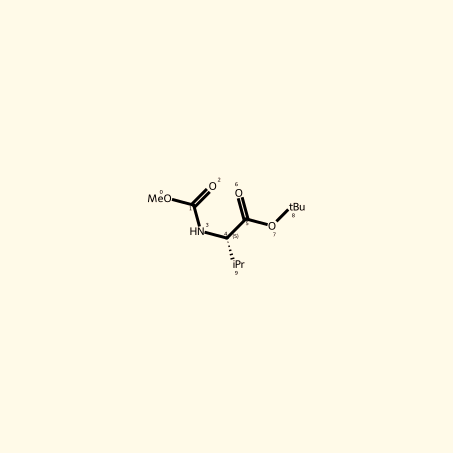 COC(=O)N[C@H](C(=O)OC(C)(C)C)C(C)C